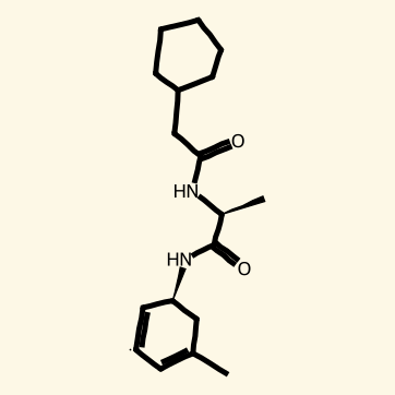 CC1=C[C]=C[C@@H](NC(=O)[C@H](C)NC(=O)CC2CCCCC2)C1